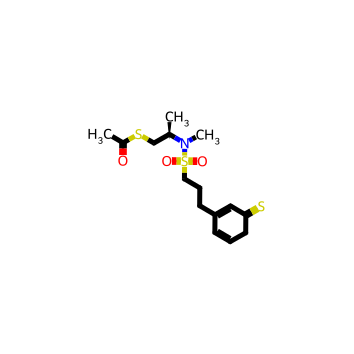 CC(=O)SC[C@@H](C)N(C)S(=O)(=O)CCCC1=CC(=S)CC=C1